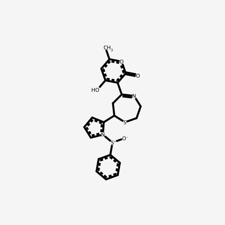 Cc1cc(O)c(C2=NCCSC(c3cccn3[S+]([O-])c3ccccc3)C2)c(=O)o1